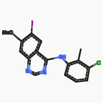 COc1cc2ncnc(Nc3cccc(Cl)c3C)c2cc1I